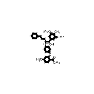 COC(=O)c1ccc(C)cc1Oc1ccc(O[C@@H](CCCc2ccccc2)[C@@H](O)c2cc(OC)c(C)c(OC)c2)cc1